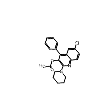 O=C(O)Oc1c(N2CCCCC2)nc2ccc(Cl)cc2c1-c1ccccc1